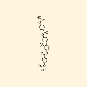 CC1(C)c2cc(OC(=O)c3ccc(OC(=O)O)cc3)ccc2-c2ccc(OC(=O)c3ccc(OC(=O)O)cc3)cc21